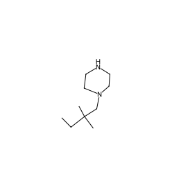 CCC(C)(C)CN1CCNCC1